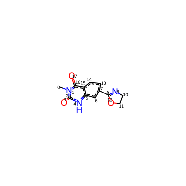 Cn1c(=O)[nH]c2cc(C3=NCCO3)ccc2c1=O